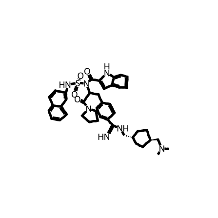 CN(C)C[C@H]1CC[C@H](CNC(=N)c2ccc(CC(C(=O)N3CCCC3)N(C(=O)c3cc4ccccc4[nH]3)S(=O)(=O)Nc3ccc4ccccc4c3)cc2)CC1